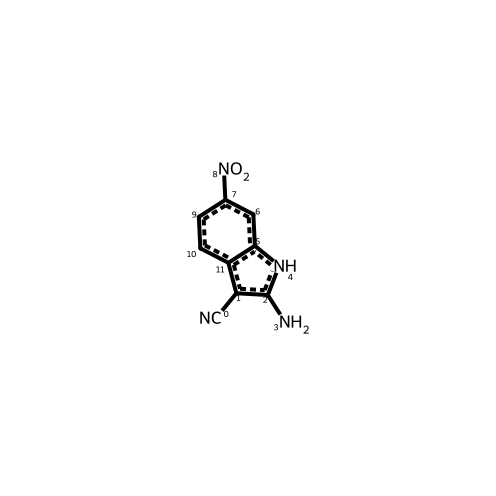 N#Cc1c(N)[nH]c2cc([N+](=O)[O-])ccc12